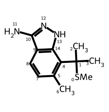 CSC(C)(C)c1c(C)ccc2c(N)n[nH]c12